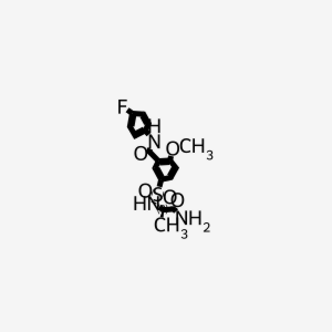 COc1ccc(S(=O)(=O)N[C@H](C)C(N)=O)cc1C(=O)Nc1ccc(F)cc1